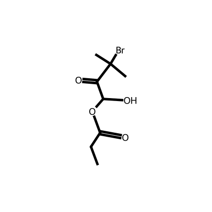 CCC(=O)OC(O)C(=O)C(C)(C)Br